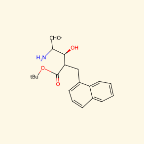 CC(C)(C)OC(=O)C(Cc1cccc2ccccc12)[C@H](O)C(N)[C]=O